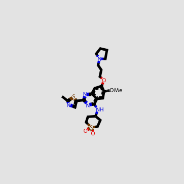 COc1cc2c(NC3CCS(=O)(=O)CC3)nc(-c3cnc(C)s3)nc2cc1OCCCN1CCCC1